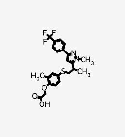 Cc1cc(SCC(C)c2cc(-c3ccc(C(F)(F)F)cc3)nn2C)ccc1OCC(=O)O